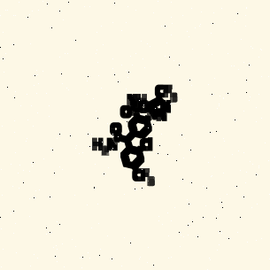 NC(=O)C(c1ccc(-n2cc(C(F)(F)F)nn2)c(S(N)(=O)=O)c1)c1ccc(C(F)(F)F)cc1Cl